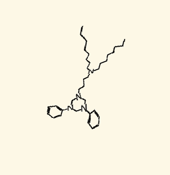 CCCCCCCCN(CCCCCCCC)CCCCN1CN(c2ccccc2)CN(c2ccccc2)C1